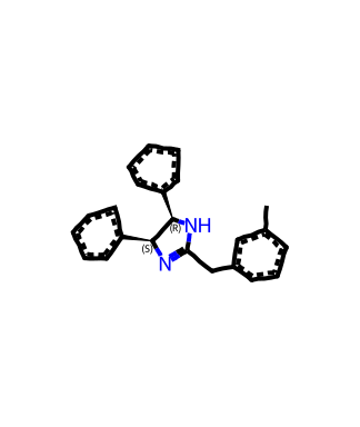 Cc1cccc(CC2=N[C@@H](c3ccccc3)[C@@H](c3ccccc3)N2)c1